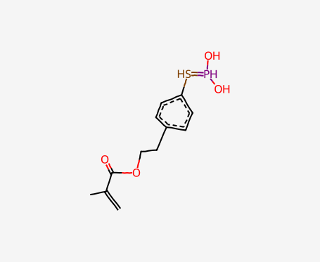 C=C(C)C(=O)OCCc1ccc([SH]=[PH](O)O)cc1